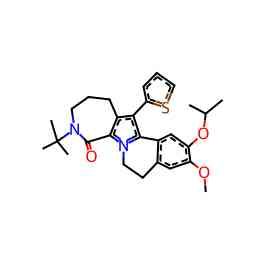 COc1cc2c(cc1OC(C)C)-c1c(-c3cccs3)c3c(n1CC2)C(=O)N(C(C)(C)C)CCC3